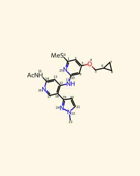 CSc1cc(OCC2CC2)cc(Nc2cc(NC(C)=O)ncc2-c2ccn(C)n2)n1